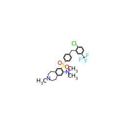 CN1CCc2cc(N(C)C)c(S(=O)(=O)c3ccc(Cc4cc(C(F)(F)F)ccc4Cl)cc3)cc2CC1